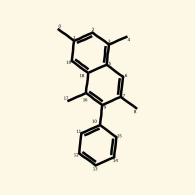 Cc1cc(C)c2cc(C)c(-c3ccccc3)c(C)c2c1